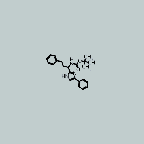 CC(C)(C)OC(=O)NC(CCc1ccccc1)c1nc(-c2ccccc2)c[nH]1